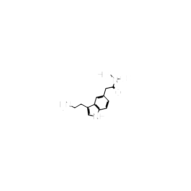 CN(C)C(=O)Cc1ccc2[nH]cc(CCN)c2c1